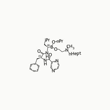 CCCCCCCN(C)CCOB(OCCC)[C@H](CC(C)C)NC(=O)[C@H](Cc1ccccc1)NC(=O)c1cnccn1